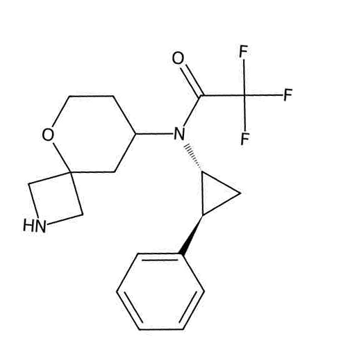 O=C(N(C1CCOC2(CNC2)C1)[C@@H]1C[C@H]1c1ccccc1)C(F)(F)F